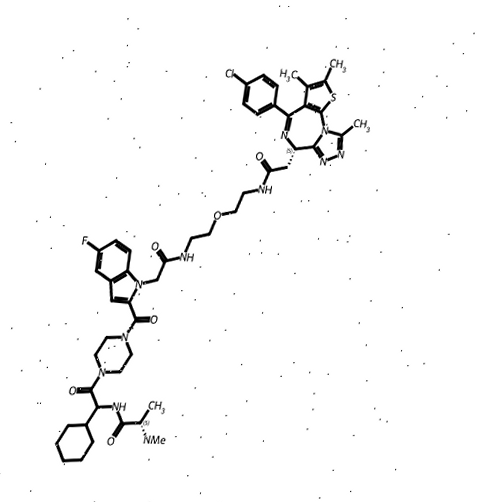 CN[C@@H](C)C(=O)NC(C(=O)N1CCN(C(=O)c2cc3cc(F)ccc3n2CC(=O)NCCOCCNC(=O)C[C@@H]2N=C(c3ccc(Cl)cc3)c3c(sc(C)c3C)-n3c(C)nnc32)CC1)C1CCCCC1